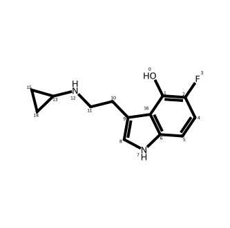 Oc1c(F)ccc2[nH]cc(CCNC3CC3)c12